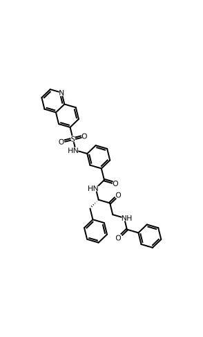 O=C(NCC(=O)[C@H](Cc1ccccc1)NC(=O)c1cccc(NS(=O)(=O)c2ccc3ncccc3c2)c1)c1ccccc1